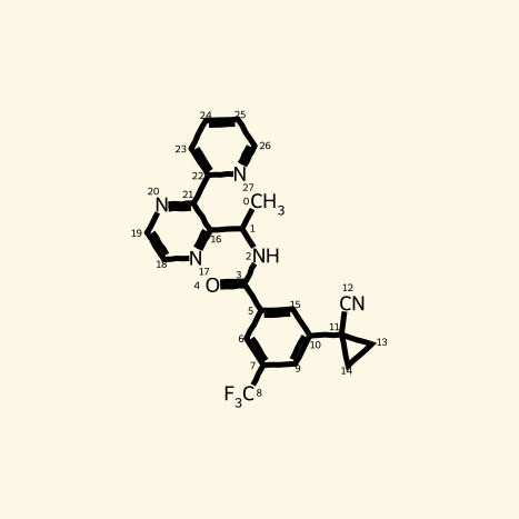 CC(NC(=O)c1cc(C(F)(F)F)cc(C2(C#N)CC2)c1)c1nccnc1-c1ccccn1